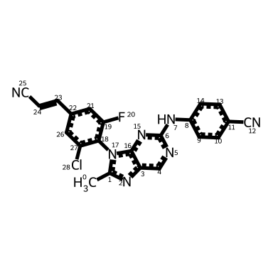 Cc1nc2cnc(Nc3ccc(C#N)cc3)nc2n1-c1c(F)cc(/C=C/C#N)cc1Cl